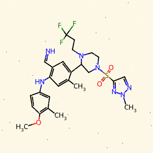 COc1ccc(Nc2cc(C)c(C3CN(S(=O)(=O)c4cnn(C)n4)CCN3CCC(F)(F)F)cc2C=N)cc1C